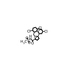 CS(=O)(=O)NC(=O)c1ccc(-c2cncc(Cl)c2)n1Cc1cc(Cl)ccc1Cl